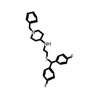 Fc1ccc(C(SCCNC2CCN(Cc3ccccc3)CC2)c2ccc(F)cc2)cc1